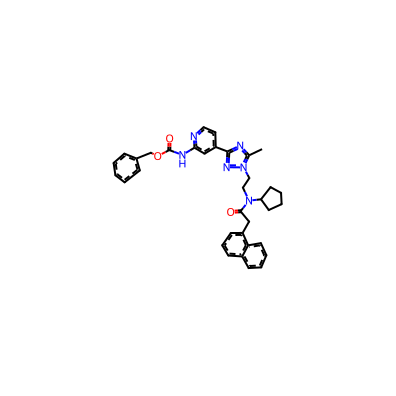 Cc1nc(-c2ccnc(NC(=O)OCc3ccccc3)c2)nn1CCN(C(=O)Cc1cccc2ccccc12)C1CCCC1